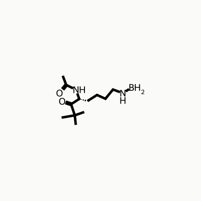 BNCCCC[C@@H](NC(C)=O)C(=O)C(C)(C)C